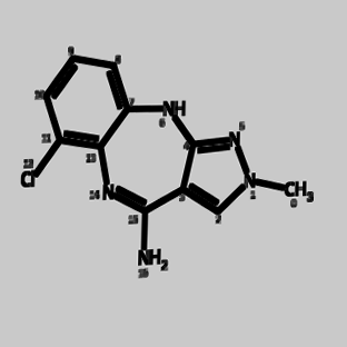 Cn1cc2c(n1)Nc1cccc(Cl)c1N=C2N